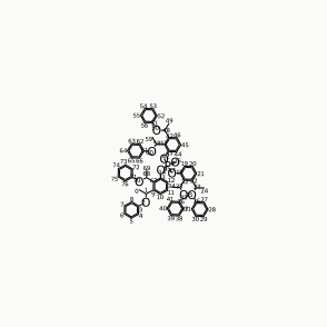 CC(Oc1ccccc1)c1cccc(OP(=O)(Oc2cccc(C(C)Oc3ccccc3)c2C(C)Oc2ccccc2)Oc2cccc(C(C)Oc3ccccc3)c2C(C)Oc2ccccc2)c1C(C)Oc1ccccc1